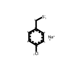 [Na+].[S-]Cc1ccc(Cl)cc1